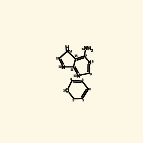 C1=CCOC=C1.Nc1ncnc2nc[nH]c12